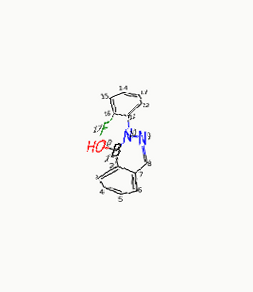 OB1c2ccccc2C=NN1c1ccccc1F